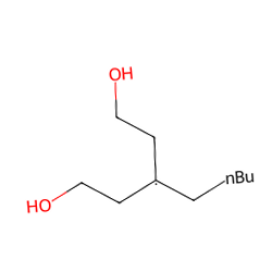 [CH2]CCCC[C](CCO)CCO